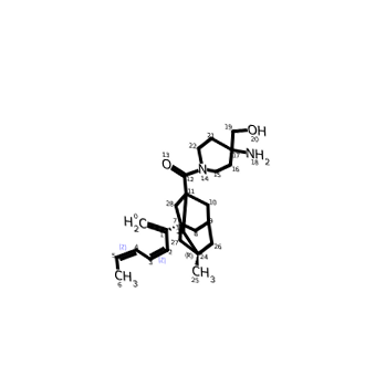 C=C(/C=C\C=C/C)[C@]12CC3CC(C(=O)N4CCC(N)(CO)CC4)(C[C@](C)(C3)C1)C2